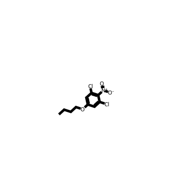 CCCCOc1cc(Cl)c([N+](=O)[O-])c(Cl)c1